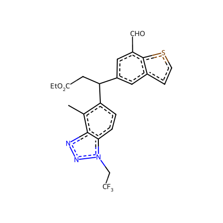 CCOC(=O)CC(c1cc(C=O)c2sccc2c1)c1ccc2c(nnn2CC(F)(F)F)c1C